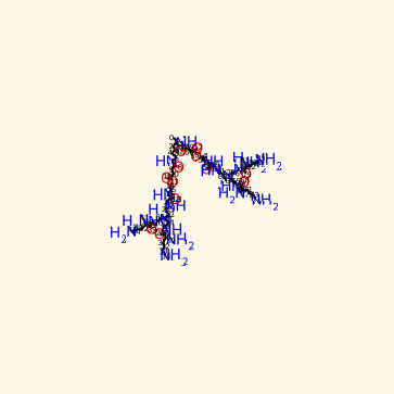 CC(CCCCNC(=O)CCC(=O)OCCNC(=O)CNCCN(CCNC(=O)C(N)CCCN)CCNC(=O)C(N)CCCN)NC(=O)CCC(=O)OCCNC(=O)CNCCN(CCNC(=O)C(N)CCCN)CCNC(=O)C(N)CCCN